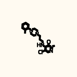 Cc1ccccc1N1CCN(CCCNc2c(Cl)cnn(C)c2=O)CC1